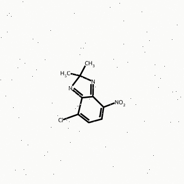 CC1(C)N=c2c(Cl)ccc([N+](=O)[O-])c2=N1